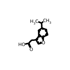 CC(C)c1ccc2occ(CC(=O)O)c2c1